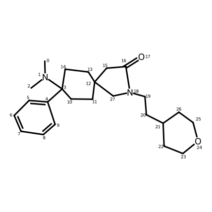 CN(C)C1(c2ccccc2)CCC2(CC1)CC(=O)N(CCC1CCOCC1)C2